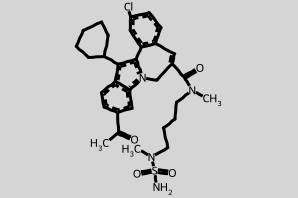 CC(=O)c1ccc2c(C3CCCCC3)c3n(c2c1)CC(C(=O)N(C)CCCCN(C)S(N)(=O)=O)=Cc1ccc(Cl)cc1-3